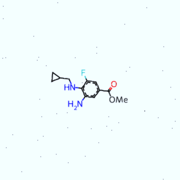 COC(=O)c1cc(N)c(NCC2CC2)c(F)c1